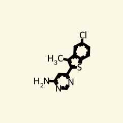 Cc1c(-c2cc(N)ncn2)sc2ccc(Cl)cc12